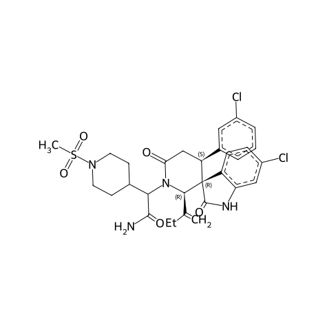 C=C(CC)[C@H]1N(C(C(N)=O)C2CCN(S(C)(=O)=O)CC2)C(=O)C[C@@H](c2cccc(Cl)c2)[C@]12C(=O)Nc1cc(Cl)ccc12